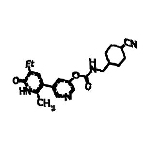 CCc1cc(-c2cncc(OC(=O)NCC3CCC(C#N)CC3)c2)c(C)[nH]c1=O